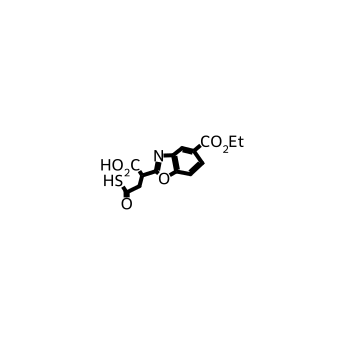 CCOC(=O)c1ccc2oc(C(CC(=O)S)C(=O)O)nc2c1